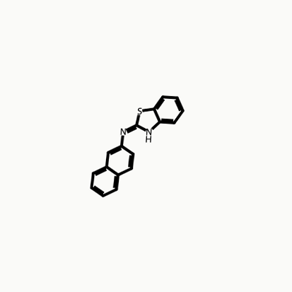 c1ccc2cc(N=c3[nH]c4ccccc4s3)ccc2c1